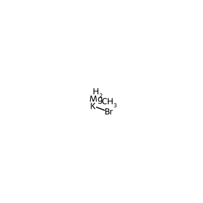 [CH3].[K][Br].[MgH2]